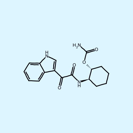 NC(=O)O[C@@H]1CCCC[C@H]1NC(=O)C(=O)c1c[nH]c2ccccc12